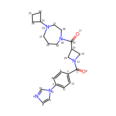 O=C(c1ccc(-n2ccnc2)cc1)N1CC(C(=O)N2CCCN(C3CCC3)CC2)C1